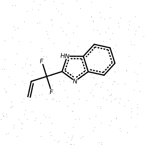 C=CC(F)(F)c1nc2ccccc2[nH]1